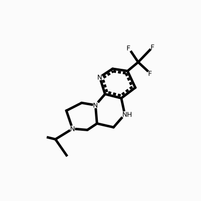 CC(C)N1CCN2c3ncc(C(F)(F)F)cc3NCC2C1